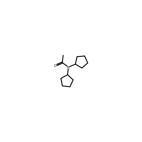 CC(=O)N(C1CCCC1)C1CCCC1